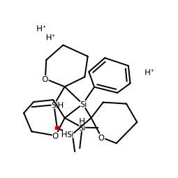 C[SiH](C)C1([Si](c2ccccc2)(C2([SiH](C)C)CCCCO2)C2([SiH](C)C)CCCCO2)CCCCO1.[H+].[H+].[H+]